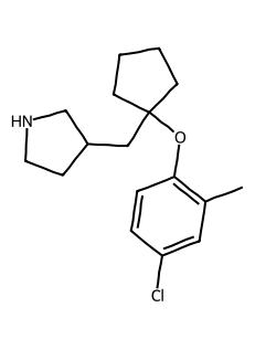 Cc1cc(Cl)ccc1OC1(CC2CCNC2)CCCC1